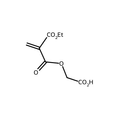 C=C(C(=O)OCC)C(=O)OCC(=O)O